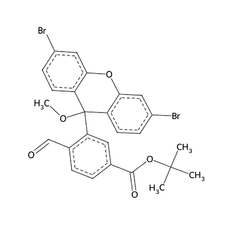 COC1(c2cc(C(=O)OC(C)(C)C)ccc2C=O)c2ccc(Br)cc2Oc2cc(Br)ccc21